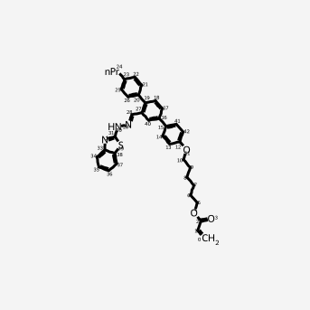 C=CC(=O)OCCCCCCOc1ccc(-c2ccc(-c3ccc(CCC)cc3)c(/C=N/Nc3nc4ccccc4s3)c2)cc1